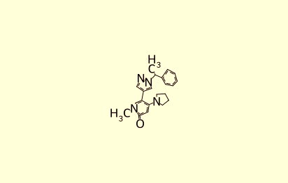 CC(c1ccccc1)n1cc(-c2cn(C)c(=O)cc2N2CCCC2)cn1